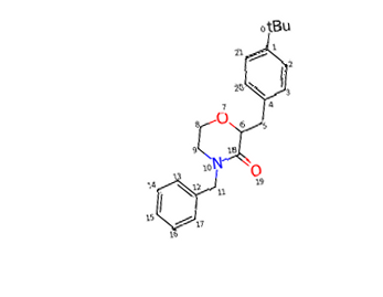 CC(C)(C)c1ccc(CC2OCCN(Cc3ccccc3)C2=O)cc1